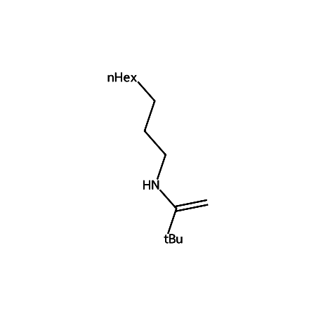 C=C(NCCCCCCCCC)C(C)(C)C